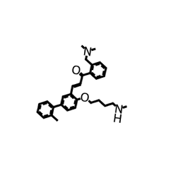 CNCCCCOc1ccc(-c2ccccc2C)cc1C=CC(=O)c1ccccc1CN(C)C